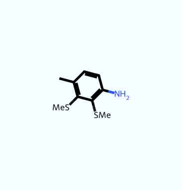 CSc1c(C)ccc(N)c1SC